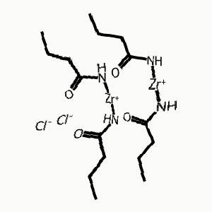 CCCC(=O)[NH][Zr+][NH]C(=O)CCC.CCCC(=O)[NH][Zr+][NH]C(=O)CCC.[Cl-].[Cl-]